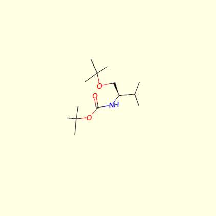 CC(C)[C@H](COC(C)(C)C)NC(=O)OC(C)(C)C